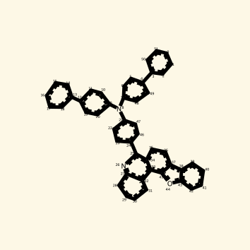 c1ccc(-c2ccc(N(c3ccc(-c4ccccc4)cc3)c3ccc(-c4nc5ccccc5c5c4ccc4c6ccccc6oc45)cc3)cc2)cc1